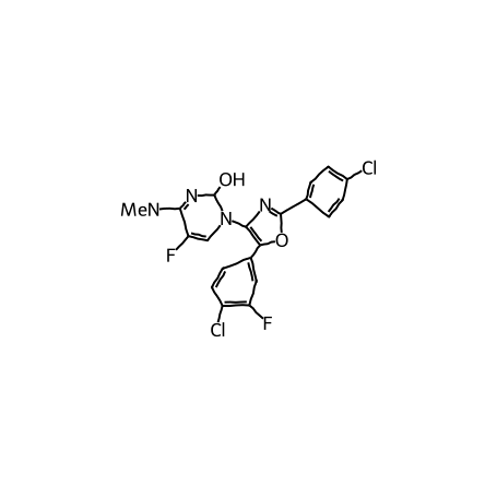 CNC1=NC(O)N(c2nc(-c3ccc(Cl)cc3)oc2-c2ccc(Cl)c(F)c2)C=C1F